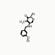 CCOc1cccc(CNc2cnn(C(C)C)c(=O)c2C)c1